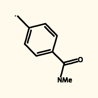 [CH2]c1ccc(C(=O)NC)cc1